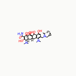 CC(C)[C@@H](C)N(Cc1cc(O)c2c(c1N(C)C)C[C@H]1C[C@H]3[C@H](N(C)C)C(O)=C(C(N)=O)C(=O)[C@@]3(O)C(O)=C1C2=O)CC1CC1